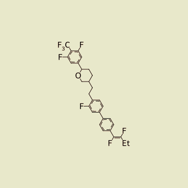 CC/C(F)=C(\F)c1ccc(-c2ccc(CCC3CCC(c4cc(F)c(C(F)(F)F)c(F)c4)OC3)c(F)c2)cc1